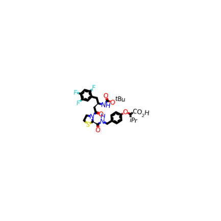 CC(C)C(Oc1ccc(CNC(=O)[C@H]2SCCN2C(=O)C[C@@H](Cc2cc(F)c(F)cc2F)NC(=O)OC(C)(C)C)cc1)C(=O)O